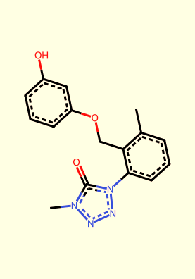 Cc1cccc(-n2nnn(C)c2=O)c1COc1cccc(O)c1